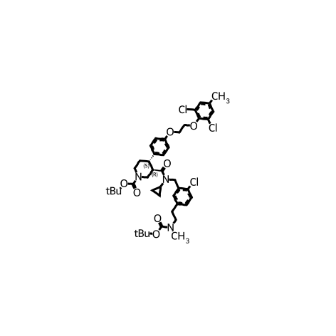 Cc1cc(Cl)c(OCCOc2ccc([C@H]3CCN(C(=O)OC(C)(C)C)C[C@@H]3C(=O)N(Cc3cc(CCN(C)C(=O)OC(C)(C)C)ccc3Cl)C3CC3)cc2)c(Cl)c1